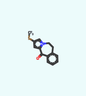 O=C1c2ccccc2CCn2cc(SC(F)(F)F)cc21